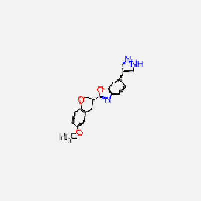 COc1ccc2c(c1)CC(c1nc3ccc(-c4cn[nH]c4)cc3o1)CO2